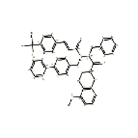 COc1cccc2c1CCN(C(=O)[C@H](Cc1ccccc1)N(Cc1ccc(-c3ccccn3)cc1)C(=O)/C=C/c1ccc(C(F)(F)F)cc1)C2